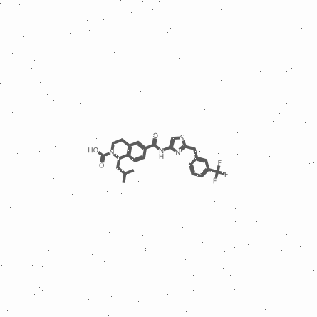 CC(C)CC1c2ccc(C(=O)Nc3csc(Cc4cccc(C(F)(F)F)c4)n3)cc2CCN1C(=O)O